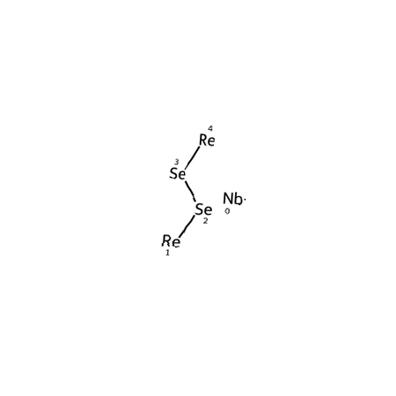 [Nb].[Re][Se][Se][Re]